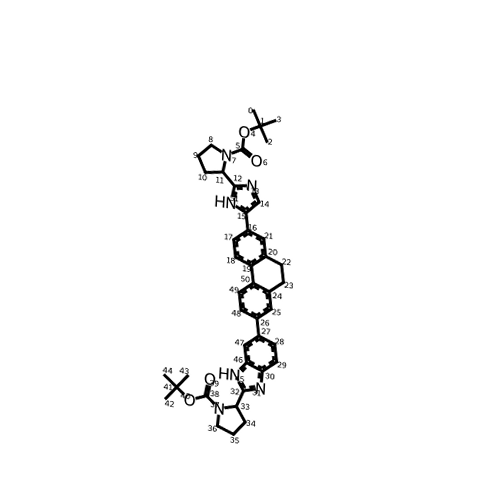 CC(C)(C)OC(=O)N1CCCC1c1ncc(-c2ccc3c(c2)CCc2cc(-c4ccc5nc(C6CCCN6C(=O)OC(C)(C)C)[nH]c5c4)ccc2-3)[nH]1